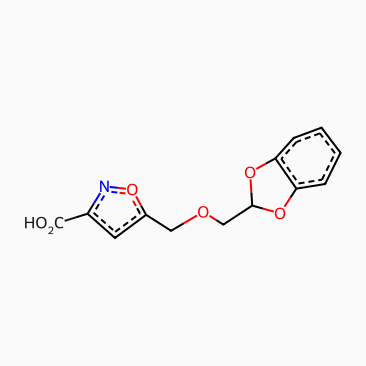 O=C(O)c1cc(COCC2Oc3ccccc3O2)on1